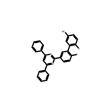 N#Cc1ccc(F)c(-c2cc(-c3nc(-c4ccccc4)cc(-c4ccccc4)n3)ccc2F)c1